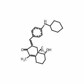 CC1=C2CCC[C@H](O)[C@@]2(C)CC(=Cc2ccc(NC3CCCCC3)cc2)C1=O